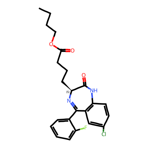 CCCCOC(=O)CCC[C@@H]1N=C(c2ccccc2F)c2cc(Cl)ccc2NC1=O